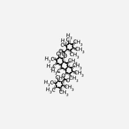 Cc1c(C)c(C)c(C(=O)Oc2c(C)c(C)c(C)c3c(C)c4c(OC(=O)c5c(C)c(C)c(C)c(C)c5C)c(C)c(C)c(C)c4c(C)c23)c(C)c1C